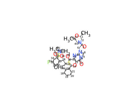 CC1CN(C(=O)Cn2ccn3c(=O)c(OCc4ccccc4)c(C(=O)SC(C=O)Cc4ccc(F)cc4S(=O)(=O)N(C)C)nc23)CC(C)O1